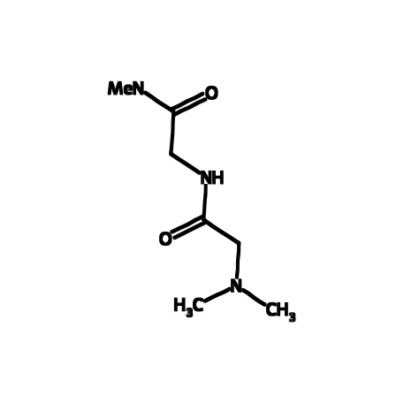 CNC(=O)CNC(=O)CN(C)C